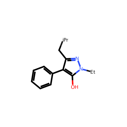 CCn1nc(CC(C)C)c(-c2ccccc2)c1O